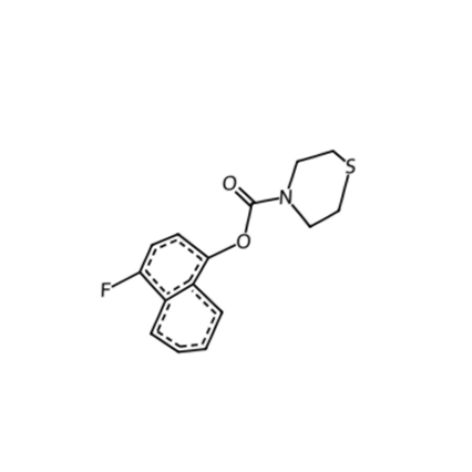 O=C(Oc1ccc(F)c2ccccc12)N1CCSCC1